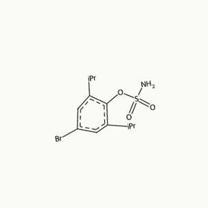 CC(C)c1cc(Br)cc(C(C)C)c1OS(N)(=O)=O